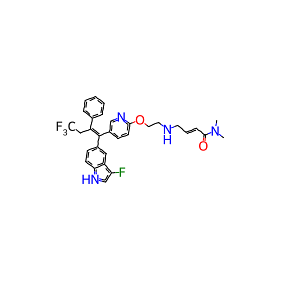 CN(C)C(=O)/C=C/CNCCOc1ccc(/C(=C(/CC(F)(F)F)c2ccccc2)c2ccc3[nH]cc(F)c3c2)cn1